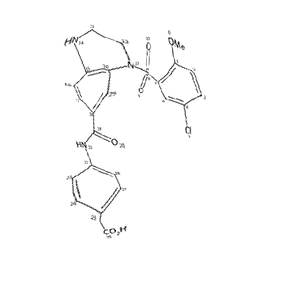 COc1ccc(Cl)cc1S(=O)(=O)N1CCNc2ccc(C(=O)Nc3ccc(C(=O)O)cc3)cc21